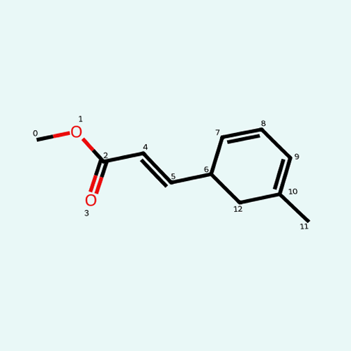 COC(=O)C=CC1C=CC=C(C)C1